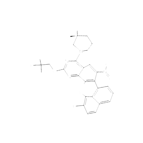 C[C@@]1(O)CCCN(c2nc(OCC(F)(F)F)nc3c(F)c(-c4cccc5ccc(F)c(F)c45)c([N+](=O)[O-])cc23)C1